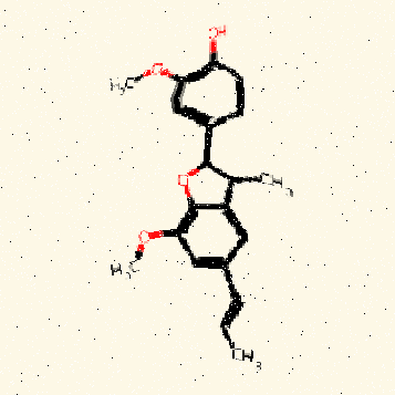 CC=Cc1cc(OC)c2c(c1)C(C)C(c1ccc(O)c(OC)c1)O2